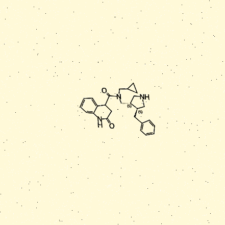 O=C1CC(C(=O)N(CC2CC2)C[C@@H]2CNC[C@H]2Cc2ccccc2)c2ccccc2N1